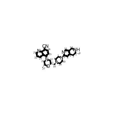 C[C@@H]1Cc2cc(N3CCN(C[C@H]4CN(c5ccc(C#N)c6ncccc56)C[C@@H](C)O4)CC3)ncc2CN1